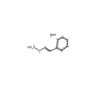 O=S(=O)(O)OC=Cc1ccccc1.[NaH]